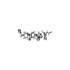 C=CCN(C#N)C[C@H]1CN(c2ccc(N3CCC(=CC#N)CC3)c(F)c2)C(=O)O1